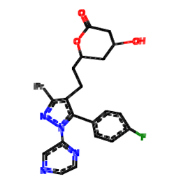 CC(C)c1nn(-c2cnccn2)c(-c2ccc(F)cc2)c1CCC1CC(O)CC(=O)O1